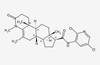 CC1=C2N(C)C(=O)CC[C@]2(C)[C@H]2CC[C@]3(C)[C@@H](C(=O)Nc4cc(Cl)cnc4Cl)CC[C@H]3[C@@H]2C1